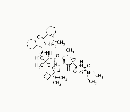 CC[C@@H]1C[C@]1(NC(=O)[C@@H]1C[C@@]2(CN1C(=O)[C@@H](NC(=O)[C@@H](NC(=O)C1CCCCN1C(C)C)C1CCCCC1)C(C)(C)C)C(C)(C)C21CCC1)C(=O)NS(=O)(=O)N(CC)CC